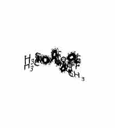 COc1cccc2c1n(Cc1ccccc1C(F)(F)F)c(=O)n2[C@@H]1CCN(c2c(F)cccc2CN2CCC(N(C)C)CC2)C1